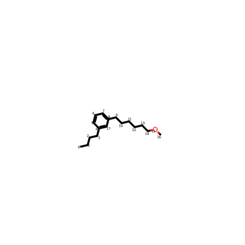 CCCCc1cccc(CCCCCCOC)c1